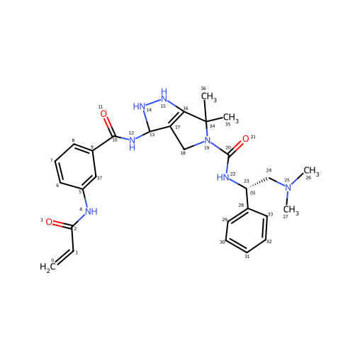 C=CC(=O)Nc1cccc(C(=O)NC2NNC3=C2CN(C(=O)N[C@H](CN(C)C)c2ccccc2)C3(C)C)c1